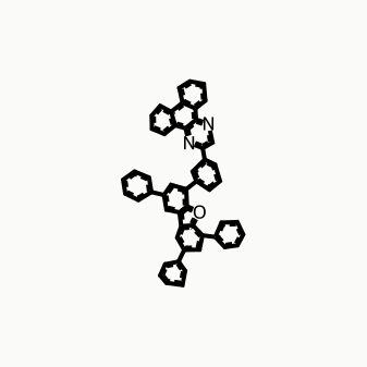 c1ccc(-c2cc(-c3ccccc3)c3oc4c(-c5cccc(-c6cnc7c8ccccc8c8ccccc8c7n6)c5)cc(-c5ccccc5)cc4c3c2)cc1